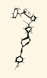 CC(=O)c1ccc(C#Cc2ccc(-c3cc(Cn4ccnc4[C@H](C)OC4CCCCO4)no3)cc2)cc1